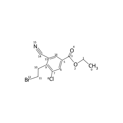 CCOC(=O)c1cc(Cl)c(CCBr)c(C#N)c1